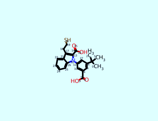 CC(C)(C)c1cc(C(=O)O)cc(-n2c(C(=O)O)c(CCS)c3ccccc32)c1